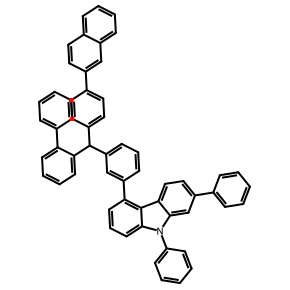 c1ccc(-c2ccc3c4c(-c5cccc(C(c6ccc(-c7ccc8ccccc8c7)cc6)c6ccccc6-c6ccccc6)c5)cccc4n(-c4ccccc4)c3c2)cc1